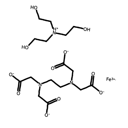 O=C([O-])CN(CCN(CC(=O)[O-])CC(=O)[O-])CC(=O)[O-].OCC[NH+](CCO)CCO.[Fe+3]